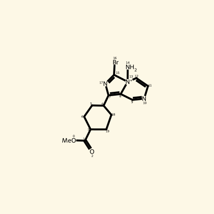 COC(=O)C1CCC(C2=C3C=NC=C[N+]3(N)C(Br)=N2)CC1